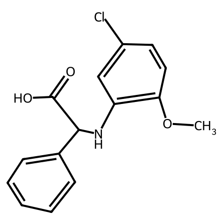 COc1ccc(Cl)cc1NC(C(=O)O)c1ccccc1